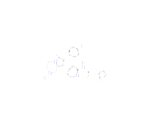 CC(=O)N1CCn2nc(-c3ccc(F)cc3)c(-c3ccnc(NC(=O)Cc4ccoc4)c3)c2C1